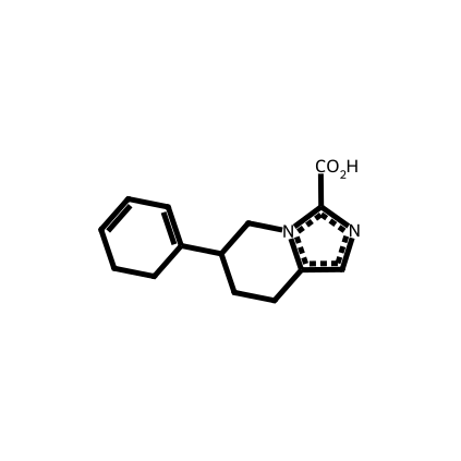 O=C(O)c1ncc2n1CC(C1=CC=CCC1)CC2